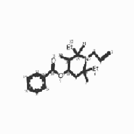 C=CCN1C(C)(CC)CC(OC(=O)c2ccccc2)C(C)C1(C)CC